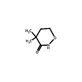 CC1(C)CCONC1=O